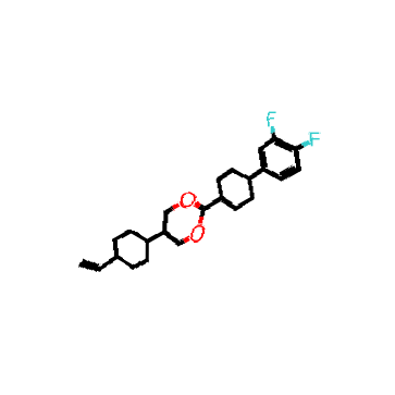 C=CC1CCC(C2COC(C3CCC(c4ccc(F)c(F)c4)CC3)OC2)CC1